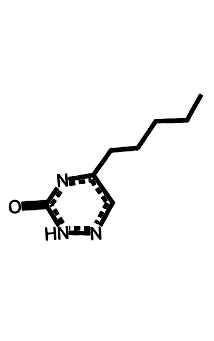 CCCCCc1cn[nH]c(=O)n1